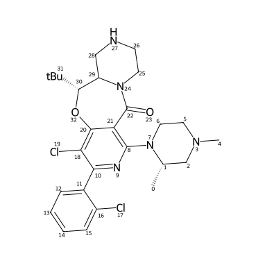 C[C@H]1CN(C)CCN1c1nc(-c2ccccc2Cl)c(Cl)c2c1C(=O)N1CCNCC1[C@@H](C(C)(C)C)O2